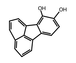 Oc1ccc2c(c1O)-c1cccc3cccc-2c13